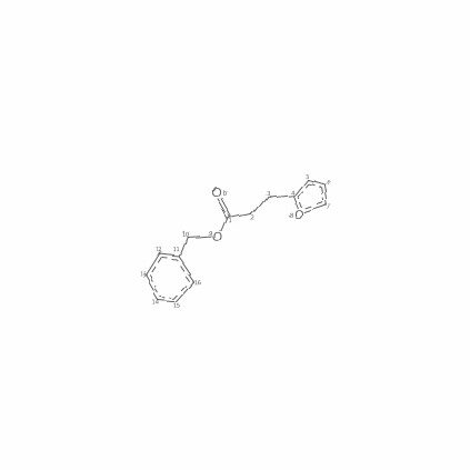 O=C(CCc1ccco1)OCc1ccccc1